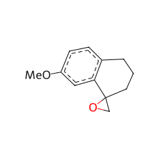 COc1ccc2c(c1)C1(CCC2)CO1